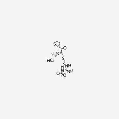 CS(=O)(=O)NC(=N)NCCSC[C@H](N)C(=O)N1CCSC1.Cl